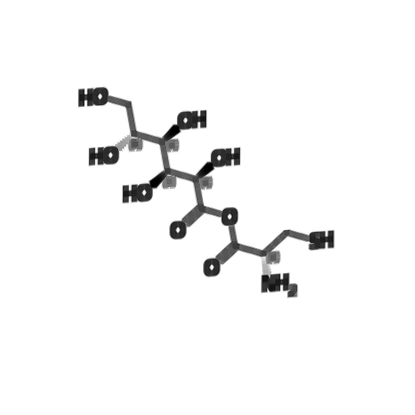 N[C@@H](CS)C(=O)OC(=O)[C@H](O)[C@@H](O)[C@H](O)[C@H](O)CO